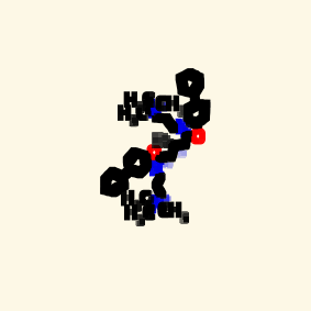 CCC(/C=C1\Oc2ccc(-c3ccccc3)cc2N1CCC[N+](C)(C)C)=C\c1oc2ccc(-c3ccccc3)cc2[n+]1CCC[N+](C)(C)C